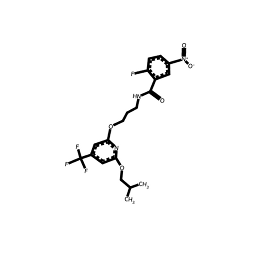 CC(C)COc1cc(C(F)(F)F)cc(OCCCNC(=O)c2cc([N+](=O)[O-])ccc2F)n1